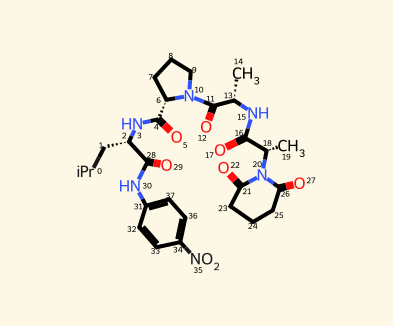 CC(C)C[C@H](NC(=O)[C@@H]1CCCN1C(=O)[C@H](C)NC(=O)[C@H](C)N1C(=O)CCCC1=O)C(=O)Nc1ccc([N+](=O)[O-])cc1